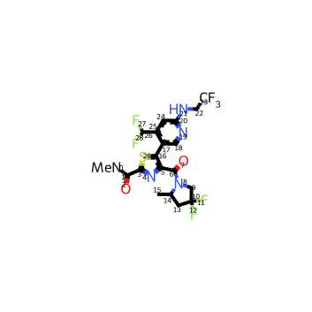 CNC(=O)c1nc(C(=O)N2CC(F)(F)CC2C)c(-c2cnc(NCC(F)(F)F)cc2C(F)F)s1